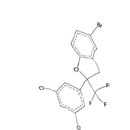 FC(F)(F)C1(c2cc(Cl)cc(Cl)c2)Cc2cc(Br)ccc2O1